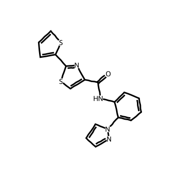 O=C(Nc1ccccc1-n1cccn1)c1csc(-c2cccs2)n1